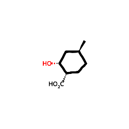 C[C@H]1CC[C@H](C(=O)O)[C@H](O)C1